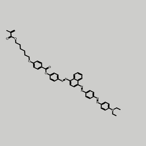 C=C(C)C(=O)OCCCCCCOc1ccc(C(=O)Oc2ccc(/N=N/c3ccc(/N=N/c4ccc(/N=N/c5ccc(N(CC)CC)cc5)cc4)c4ccccc34)cc2)cc1